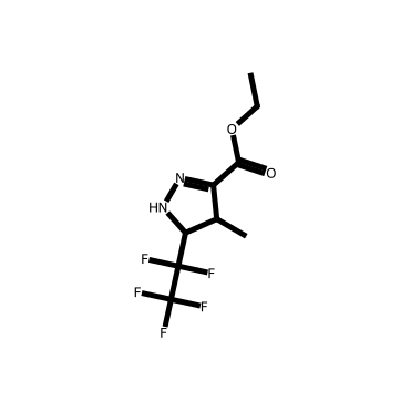 CCOC(=O)C1=NNC(C(F)(F)C(F)(F)F)C1C